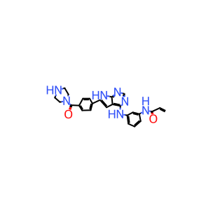 C=CC(=O)Nc1cccc(Nc2ncnc3[nH]c(-c4ccc(C(=O)N5CCNCC5)cc4)cc23)c1